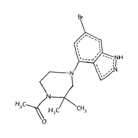 CC(=O)N1CCN(c2cc(Br)cc3[nH]ncc23)CC1(C)C